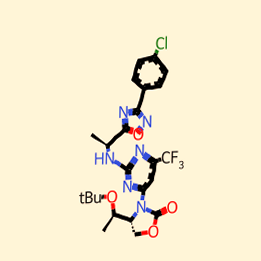 C[C@H](Nc1nc(N2C(=O)OC[C@@H]2[C@@H](C)OC(C)(C)C)cc(C(F)(F)F)n1)c1nc(-c2ccc(Cl)cc2)no1